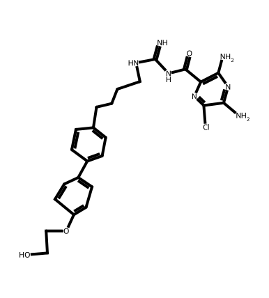 N=C(NCCCCc1ccc(-c2ccc(OCCO)cc2)cc1)NC(=O)c1nc(Cl)c(N)nc1N